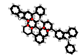 c1ccc(-n2c3ccccc3c3cc(-c4ccc(N(c5ccccc5-c5ccc6oc7ccccc7c6c5)c5ccccc5-c5cccc6cccc(C7CCCCC7)c56)cc4)ccc32)cc1